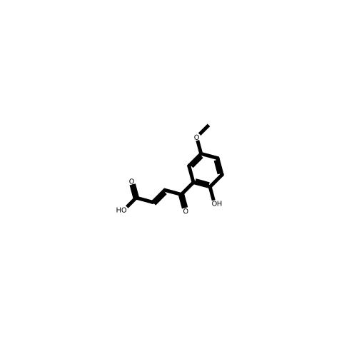 COc1ccc(O)c(C(=O)C=CC(=O)O)c1